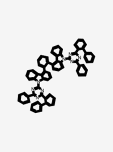 c1ccc(-c2nc(-c3ccccc3-c3ccccc3)nc(-n3c4ccccc4c4c(-c5ccccc5-c5cccc6c5c5ccccc5n6-c5nc(-c6ccccc6)nc(-c6ccccc6-c6ccccc6)n5)cccc43)n2)cc1